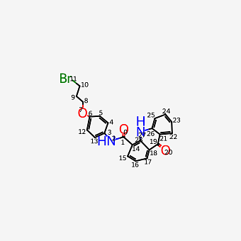 O=C(Nc1ccc(OCCCBr)cc1)c1cccc2c(=O)c3ccccc3[nH]c12